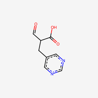 O=CC(Cc1cncnc1)C(=O)O